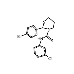 S=C(Nc1cccc(Cl)c1)N1CCCSC1c1ccc(Br)cc1